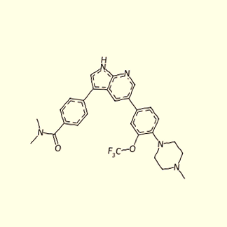 CN1CCN(c2ccc(-c3cnc4[nH]cc(-c5ccc(C(=O)N(C)C)cc5)c4c3)cc2OC(F)(F)F)CC1